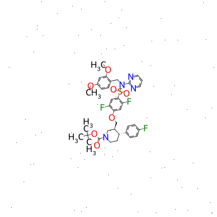 COc1ccc(CN(c2ncccn2)S(=O)(=O)c2cc(F)c(OC[C@@H]3CN(C(=O)OC(C)(C)C)CC[C@H]3c3ccc(F)cc3)cc2F)c(OC)c1